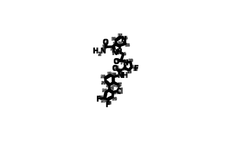 NC(=O)c1nn(CC(=O)N2C[C@H](F)C[C@H]2C(=O)Nc2cccc(-c3cc(F)c(F)cc3Cl)c2F)c2cnccc12